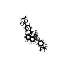 CC(C)OC(=O)C1CCN(Cc2cccc3ccc(O[C@H]4CC[C@@H](C(F)(F)F)CC4)c(C(F)(F)F)c23)CC1